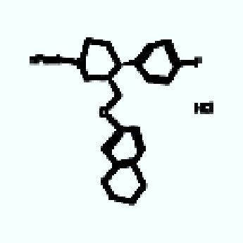 CCCCCN1CC[C@H](c2ccc(F)cc2)[C@@H](COc2ccc3c(c2)CCCC3)C1.Cl